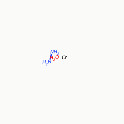 NN.O.[Cr]